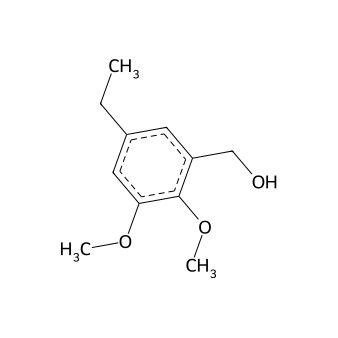 CCc1cc(CO)c(OC)c(OC)c1